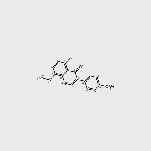 CCCSc1ccc(C)c2c(=O)c(-c3ccc(OC)cc3)c[nH]c12